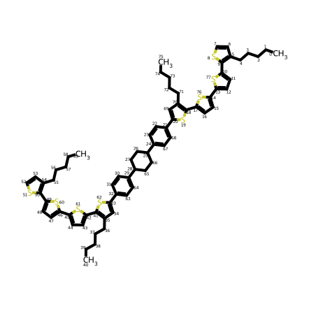 CCCCCc1ccsc1-c1ccc(-c2ccc(-c3sc(-c4ccc(C5CCC(c6ccc(-c7cc(CCCCC)c(-c8ccc(-c9ccc(-c%10sccc%10CCCCC)s9)s8)s7)cc6)CC5)cc4)cc3CCCCC)s2)s1